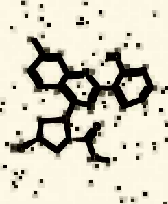 COC(=O)[C@@H]1C[C@@H](O)CN1c1nc(-c2ccccc2O)nc2cc(C)ccc12